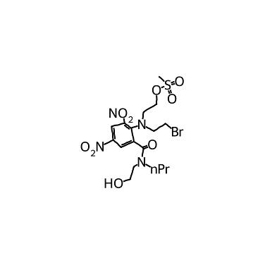 CCCN(CCO)C(=O)c1cc([N+](=O)[O-])cc([N+](=O)[O-])c1N(CCBr)CCOS(C)(=O)=O